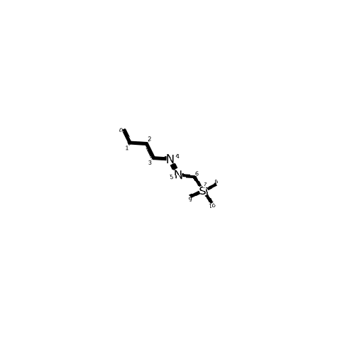 CCCC/N=N/C[Si](C)(C)C